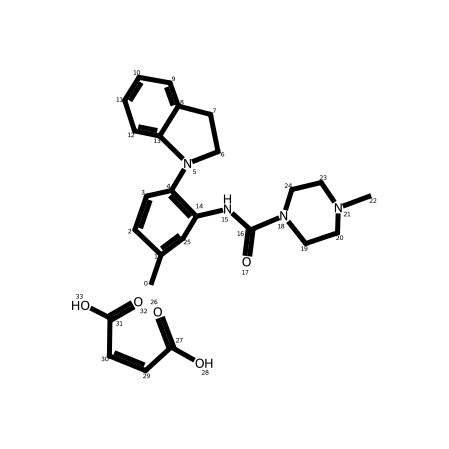 Cc1ccc(N2CCc3ccccc32)c(NC(=O)N2CCN(C)CC2)c1.O=C(O)/C=C\C(=O)O